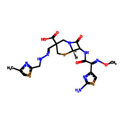 CON=C(C(=O)NC1C(=O)N2CC(C=NNCc3nc(C)cs3)(C(=O)O)CS[C@H]12)c1csc(N)n1